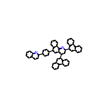 c1ccc2nc(-c3ccc(-c4cc5c(-c6cc7ccccc7c7ccccc67)cc(-c6cc7ccccc7c7ccccc67)nc5c5ccccc45)cc3)ccc2c1